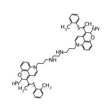 C=C(Sc1ccccc1C)C1=C2C=CN(CCCNCCNCCCN3C=CC4=C(C(=C)Sc5ccccc5C)C(CCC)Oc5cccc3c54)c3cccc(c32)OC1CCC